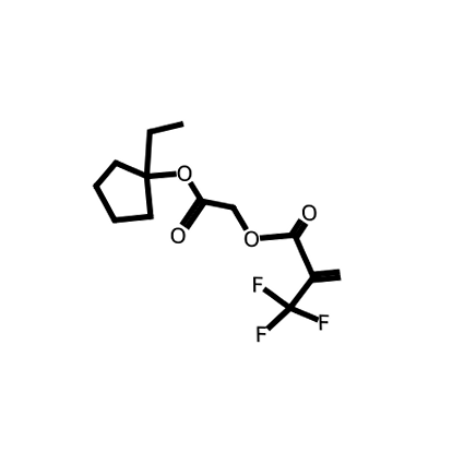 C=C(C(=O)OCC(=O)OC1(CC)CCCC1)C(F)(F)F